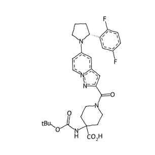 CC(C)(C)OC(=O)NC1(C(=O)O)CCN(C(=O)c2cc3cc(N4CCC[C@@H]4c4cc(F)ccc4F)ccn3n2)CC1